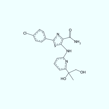 CC(O)(CO)c1cccc(Nc2sc(-c3ccc(Cl)cc3)nc2C(N)=O)n1